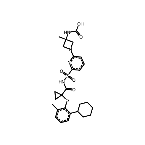 Cc1cccc(C2CCCCC2)c1OC1(C(=O)NS(=O)(=O)c2cccc(N3CC(C)(NC(=O)O)C3)n2)CC1